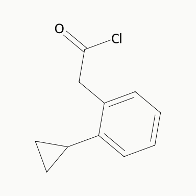 O=C(Cl)Cc1ccccc1C1CC1